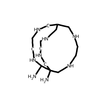 NC1NCCNCC2CNCCNCC1(N)CNCCNC2